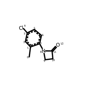 Cc1cc(Cl)ccc1N1CCC1=O